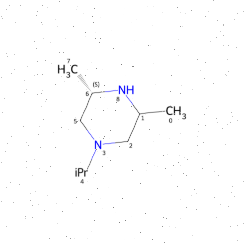 CC1CN(C(C)C)C[C@H](C)N1